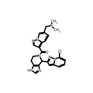 CN(C)Cc1ccc2c(C(=O)N3CCc4[nH]cnc4C3c3cc4cccc(Cl)n4n3)cnn2c1